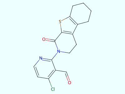 O=Cc1c(Cl)ccnc1N1CCc2c(sc3c2CCCC3)C1=O